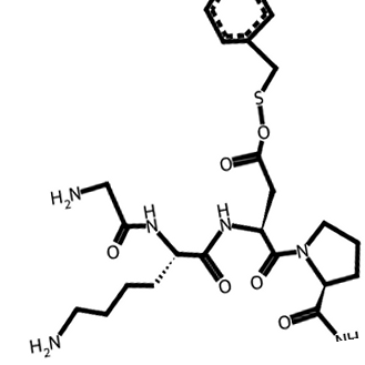 NCCCC[C@H](NC(=O)CN)C(=O)N[C@@H](CC(=O)OSCc1ccccc1)C(=O)N1CCC[C@H]1C(N)=O